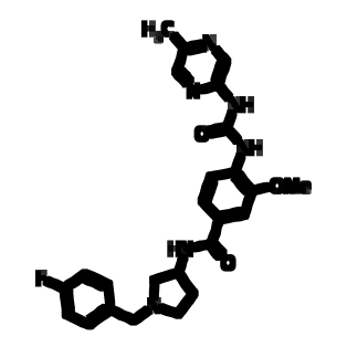 COc1cc(C(=O)NC2CCN(Cc3ccc(F)cc3)C2)ccc1NC(=O)Nc1cnc(C)cn1